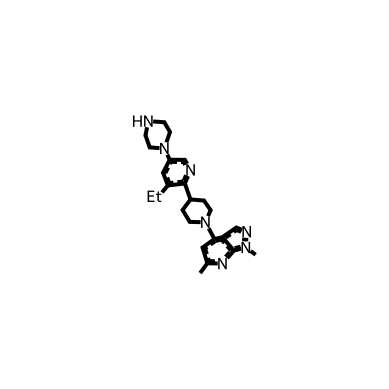 CCc1cc(N2CCNCC2)cnc1C1CCN(c2cc(C)nc3c2cnn3C)CC1